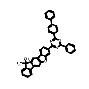 CC1(C)c2ccccc2-c2cc3oc4cc(-c5nc(-c6ccccc6)nc(-c6ccc(-c7ccccc7)cc6)n5)ccc4c3cc21